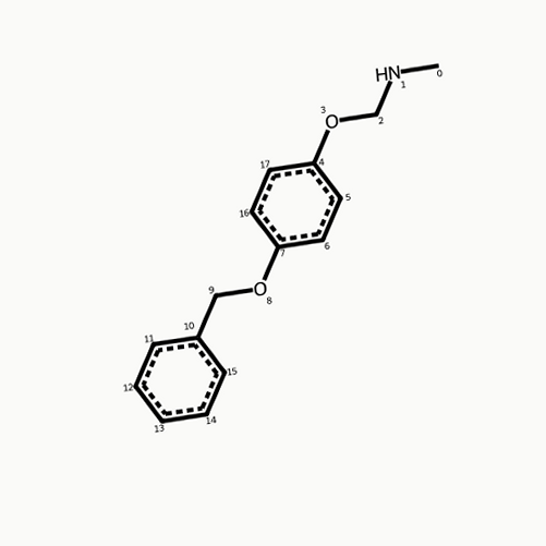 CNCOc1ccc(OCc2ccccc2)cc1